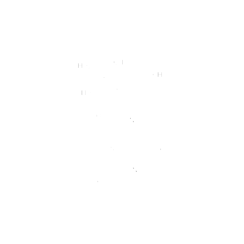 C#CCN(C(=O)OC(C)(C)C)c1sc(Cl)nc1Cl